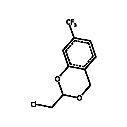 FC(F)(F)c1ccc2c(c1)OC(CCl)OC2